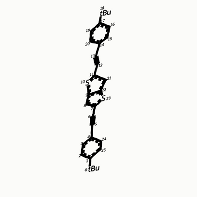 CC(C)(C)c1ccc(C#Cc2cc3sc(C#Cc4ccc(C(C)(C)C)cc4)cc3s2)cc1